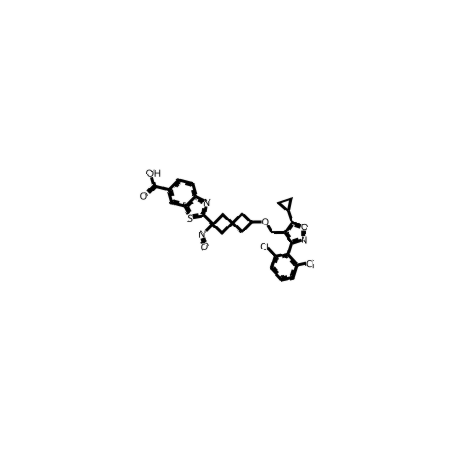 O=NC1(c2nc3ccc(C(=O)O)cc3s2)CC2(CC(OCc3c(-c4c(Cl)cccc4Cl)noc3C3CC3)C2)C1